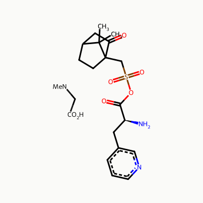 CC1(C)C2CCC1(CS(=O)(=O)OC(=O)[C@@H](N)Cc1cccnc1)C(=O)C2.CNCC(=O)O